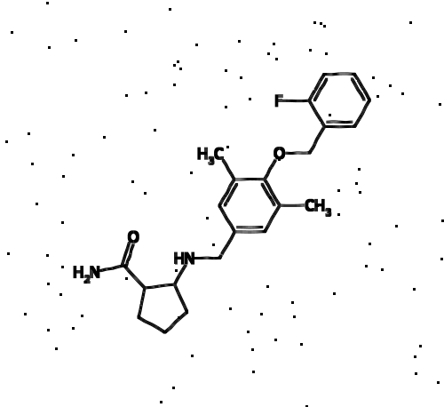 Cc1cc(CNC2CCCC2C(N)=O)cc(C)c1OCc1ccccc1F